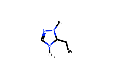 CCN1N=CN(C)C1CC(C)C